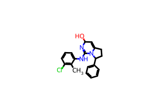 Cc1c(Cl)cccc1NC1=NC(O)C=C2CCC(c3ccccc3)N21